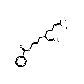 C=CC(C/C=C/OC(=O)c1ccccc1)CCC=C(C)C